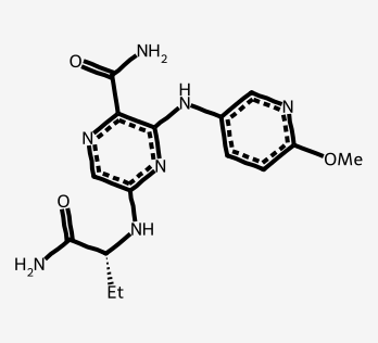 CC[C@@H](Nc1cnc(C(N)=O)c(Nc2ccc(OC)nc2)n1)C(N)=O